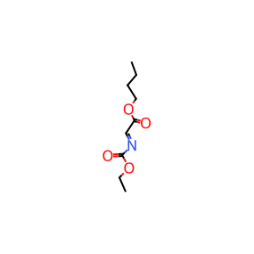 CCCCOC(=O)C=NC(=O)OCC